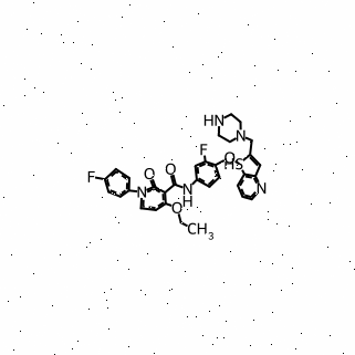 CCOc1ccn(-c2ccc(F)cc2)c(=O)c1C(=O)Nc1ccc(O[SH]2C(CN3CCNCC3)=Cc3ncccc32)c(F)c1